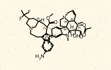 CC[C@]12C=CCN3CC[C@@]4(C5=CC([C@@]6(C(=O)OC)C[C@H]7CC(C(C)(F)F)CN(CCc8c6[nH]c6ccc(N)cc86)C7)C(OC)C=C5N(C)[C@H]4[C@@](O)(C=O)[C@@H]1OC(C)=O)[C@@H]32